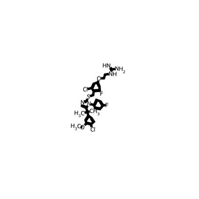 COc1cc(C(C)(C)c2cnc(SCc3c(F)cc(OCCNC(=N)N)cc3Cl)n2-c2ccc(F)cc2)ccc1Cl